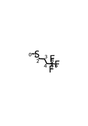 CSCCCC(F)(F)F